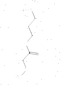 CCCCCCCCOC(=O)CSS